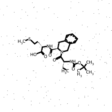 CC[C@@H](NC(=O)OC(C)(C)C)C(=O)N1Cc2ccccc2C[C@@H]1C(=O)N[C@@H](CCSC)C(=O)O